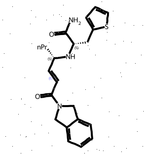 CCC[C@@H](/C=C/C(=O)N1Cc2ccccc2C1)N[C@@H](Cc1cccs1)C(N)=O